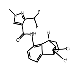 Cn1cc(C(=O)Nc2cccc3c2[C@@H]2CC[C@]34C2C4(Cl)Cl)c(C(F)F)n1